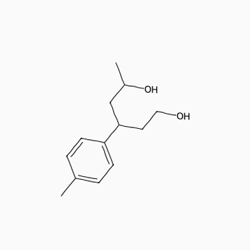 Cc1ccc(C(CCO)CC(C)O)cc1